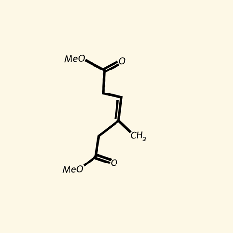 COC(=O)CC=C(C)CC(=O)OC